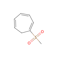 CS(=O)(=O)C1=CC=CC=CC1